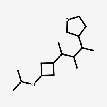 CC(C)OC1CC(C(C)C(C)C(C)C2CCOC2)C1